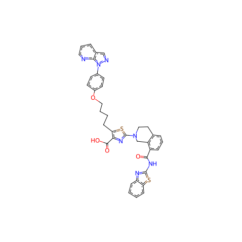 O=C(Nc1nc2ccccc2s1)c1cccc2c1CN(c1nc(C(=O)O)c(CCCCOc3ccc(-n4ncc5cccnc54)cc3)s1)CC2